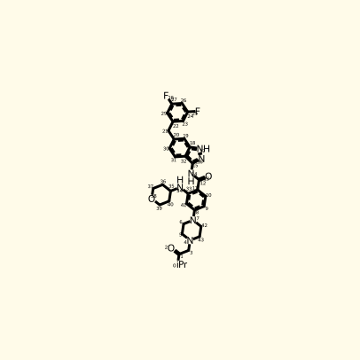 CC(C)C(=O)CN1CCN(c2ccc(C(=O)Nc3n[nH]c4cc(Cc5cc(F)cc(F)c5)ccc34)c(NC3CCOCC3)c2)CC1